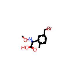 CO/N=C(\C(=O)O)c1cc(CBr)ccc1C